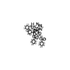 Nc1ncnc2c1c(COCc1ccccc1)nn2[C@@H]1O[C@H](COC(=O)c2ccccc2)[C@@H](OC(=O)c2ccccc2)[C@H]1OC(=O)c1ccccc1